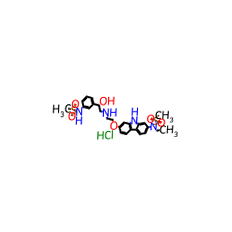 CCN(c1ccc2c(c1)[nH]c1cc(OCCNC[C@H](O)c3cccc(NS(C)(=O)=O)c3)ccc12)S(C)(=O)=O.Cl